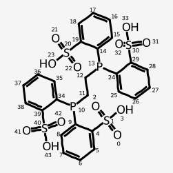 O=S(=O)(O)c1ccccc1P(CCP(c1ccccc1S(=O)(=O)O)c1ccccc1S(=O)(=O)O)c1ccccc1S(=O)(=O)O